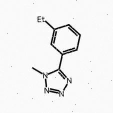 CCc1cccc(-c2nnnn2C)c1